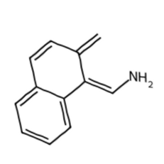 C=c1ccc2ccccc2/c1=C/N